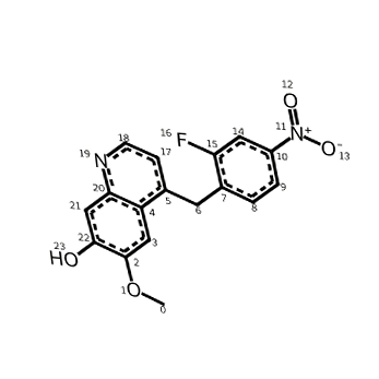 COc1cc2c(Cc3ccc([N+](=O)[O-])cc3F)ccnc2cc1O